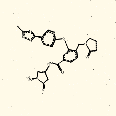 Cc1noc(-c2ccc(Oc3cc(C(=O)NC4CC(=O)N(C(C)(C)C)C4)ccc3CN3CCCC3=O)nc2)n1